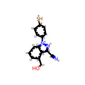 N#Cc1nn(-c2ccc(S)cc2)c2cccc(CO)c12